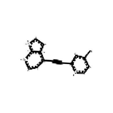 Cc1ccnc(C#Cc2ccnc3[nH]ccc23)c1